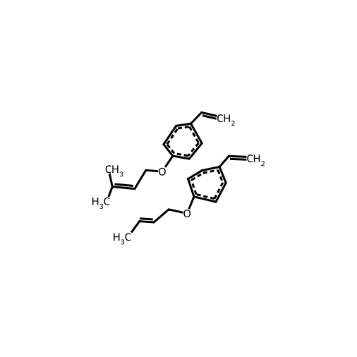 C=Cc1ccc(OCC=C(C)C)cc1.C=Cc1ccc(OCC=CC)cc1